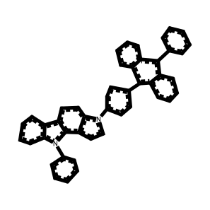 c1ccc(-c2c3ccccc3c(-c3ccc(-n4ccc5c4ccc4c6ccccc6n(-c6ccccc6)c45)cc3)c3ccccc23)cc1